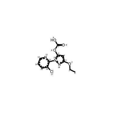 CCOc1cc(OC(=O)O)n(-c2ncccc2Cl)n1